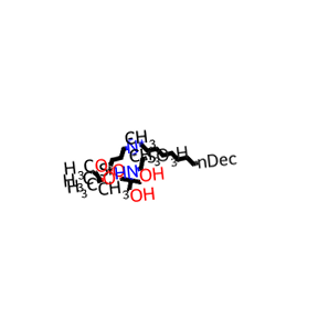 CCCCCCCCCCCCCCCCCC[N+](C)(C)CCC[Si]1(OCC(CO)(CO)NCCS(=O)(=O)O)OC(C)(C)C(C)(C)O1